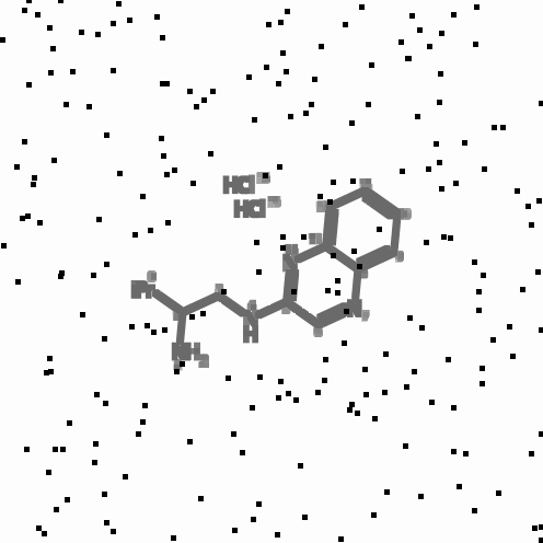 CC(C)C(N)CNc1cnc2ccccc2n1.Cl.Cl